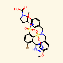 COc1ccc(CN(Cc2ccc(OC)cc2)S(=O)(=O)c2c(S(=O)(=O)N[C@@H]3CCN(C(=O)O)C3)ccc(Br)c2-c2nnn[nH]2)cc1